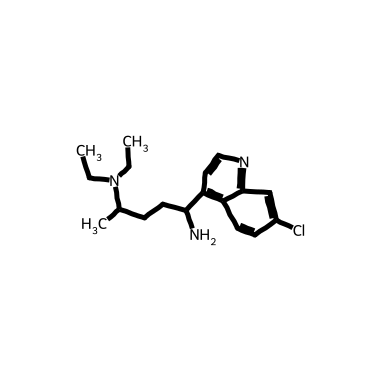 CCN(CC)C(C)CCC(N)c1ccnc2cc(Cl)ccc12